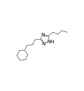 CCCCc1nc(CCCC2CCCCC2)n[nH]1